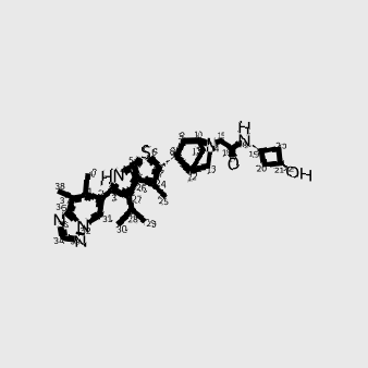 Cc1c(-c2[nH]c3sc([C@@H]4CC5CC4CN5CC(=O)N[C@H]4C[C@@H](O)C4)c(C)c3c2C(C)C)cn2ncnc2c1C